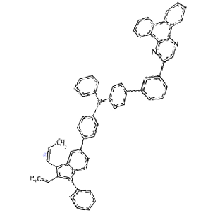 C=Cc1c(/C=C\C)c2cc(-c3ccc(N(c4ccccc4)c4ccc(-c5cccc(-c6cnc7c8ccccc8c8ccccc8c7n6)c5)cc4)cc3)ccc2n1-c1ccccc1